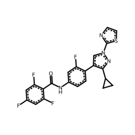 O=C(Nc1ccc(-c2cn(-c3nccs3)nc2C2CC2)c(F)c1)c1c(F)cc(F)cc1F